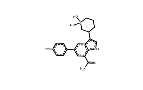 NC(=O)c1cc(-c2ccc(F)cc2)cc2c(C3CCCS(O)(O)C3)c[nH]c12